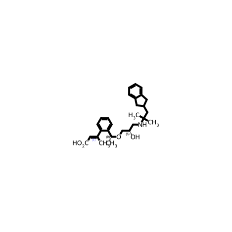 C/C(=C\C(=O)O)c1ccccc1[C@@H](C)OC[C@@H](O)CNC(C)(C)CC1Cc2ccccc2C1